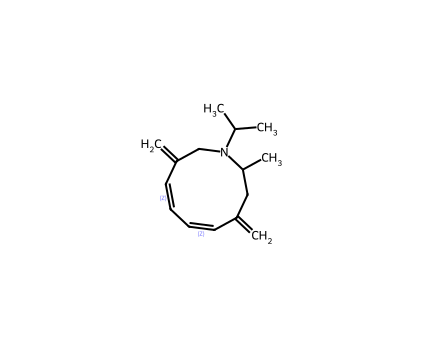 C=C1/C=C\C=C/C(=C)CN(C(C)C)C(C)C1